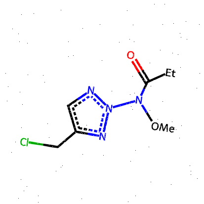 CCC(=O)N(OC)n1ncc(CCl)n1